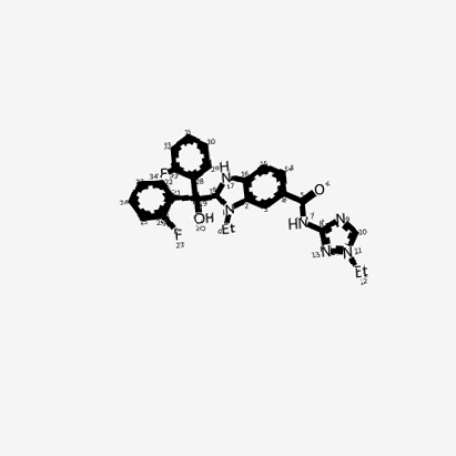 CCN1c2cc(C(=O)Nc3ncn(CC)n3)ccc2NC1C(O)(c1ccccc1F)c1ccccc1F